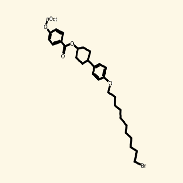 CCCCCCCCOc1ccc(C(=O)OC2CCC(c3ccc(OCCCCCCCCCCCBr)cc3)CC2)cc1